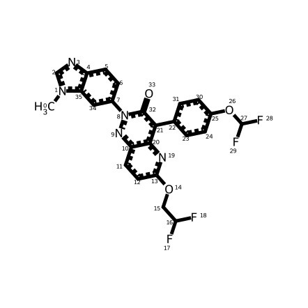 Cn1cnc2ccc(-n3nc4ccc(OCC(F)F)nc4c(-c4ccc(OC(F)F)cc4)c3=O)cc21